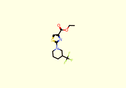 CCOC(=O)c1csc(N2CCCC(C(F)(F)F)C2)n1